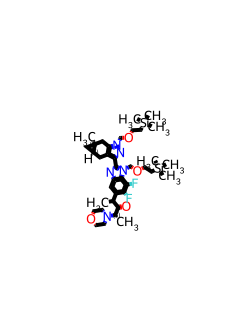 CC(C(=O)[C@H](C)N1CCOCC1)c1cc2nc(-c3nn(COCC[Si](C)(C)C)c4c3C[C@@H]3C[C@]3(C)C4)n(COCC[Si](C)(C)C)c2c(F)c1F